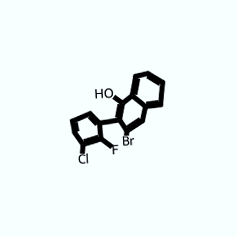 Oc1c(-c2cccc(Cl)c2F)c(Br)cc2ccccc12